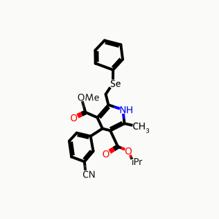 COC(=O)C1=C(C[Se]c2ccccc2)NC(C)=C(C(=O)OC(C)C)C1c1cccc(C#N)c1